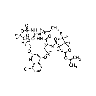 C=C(C)OC(=O)N[C@H](C(=O)N1C[C@H](Oc2cc(OCC)nc3c(Cl)cccc23)C[C@H]1C(=O)N[C@]1(C(=O)NS(=O)(=O)OC2(C)CC2)C[C@H]1CC)C1(C(F)(F)F)CC1